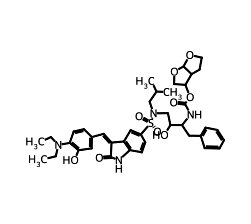 CCN(CC)c1ccc(C=C2C(=O)Nc3ccc(S(=O)(=O)N(CC(C)C)CC(O)C(Cc4ccccc4)NC(=O)OC4COC5OCCC45)cc32)cc1O